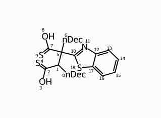 CCCCCCCCCCC(C(O)=S)C(CCCCCCCCCC)(C(O)=S)c1nc2ccccc2s1